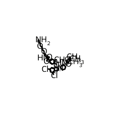 Cc1cc(S(=O)(=O)NCCOCCOCCN)ccc1O[C@H]1c2cc(Cl)cc(Cl)c2C[C@@H]1N1CCC[C@@H](NC(=O)OC(C)(C)C)C1